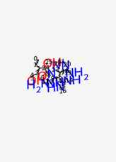 C=C[C@@H]1C(CO)O[C@@H](n2c(NN)c(C(=N)NC)c3c(N)ncnc32)[C@@H]1O